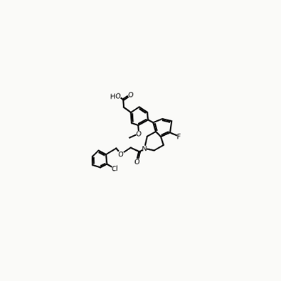 COc1cc(CC(=O)O)ccc1-c1ccc(F)c2c1CN(C(=O)COCc1ccccc1Cl)CC2